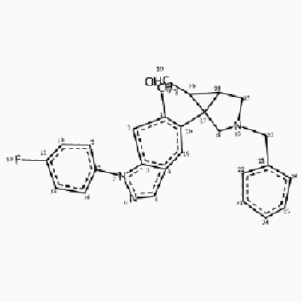 Cc1cc2c(cnn2-c2ccc(F)cc2)cc1C12CN(Cc3ccccc3)CC1C2C=O